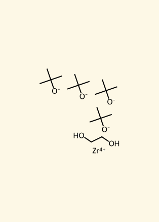 CC(C)(C)[O-].CC(C)(C)[O-].CC(C)(C)[O-].CC(C)(C)[O-].OCCO.[Zr+4]